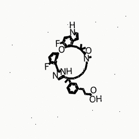 CN1CCCCCC(C)(c2cccc(CCC(=O)O)c2)c2cnc([nH]2)-c2cc(ccc2F)Oc2c(F)cc3[nH]ccc3c2CC(C)(C)C1=O